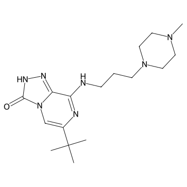 CN1CCN(CCCNc2nc(C(C)(C)C)cn3c(=O)[nH]nc23)CC1